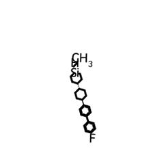 CCC[SiH]1CCC([C@H]2CC[C@H](c3ccc(-c4ccc(F)cc4)cc3)CC2)CC1